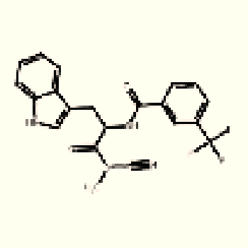 CN(C#N)C(=O)C(Cc1c[nH]c2ccccc12)NC(=O)c1cccc(C(F)(F)F)c1